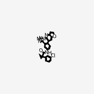 O=C(Nc1ccc(-c2cnc3ccoc3c2)c(-c2nnn[nH]2)c1)C1(c2cccc(Cl)c2)CC1